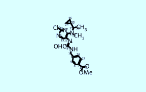 COC(=O)c1ccc(CN/C(C=O)=N/c2cnc(Cl)nc2N(C)C(C)C2CC2)cc1